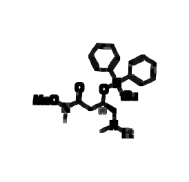 CCN(C)C[C@@H](CC(=O)N(C)OC)O[Si](c1ccccc1)(c1ccccc1)C(C)(C)C